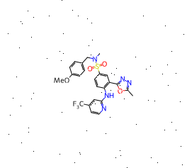 COc1ccc(CN(C)S(=O)(=O)c2ccc(Nc3cc(C(F)(F)F)ccn3)c(-c3nnc(C)o3)c2)cc1